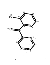 O=C(c1ccccn1)c1ccccc1Br